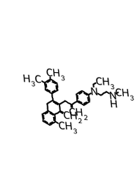 C=C(CC1=C(c2ccc(C)c(C)c2)Cc2cccc(C)c2C1=C)c1ccc(N(CC)CCNC)cc1